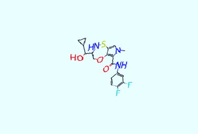 Cn1cc2c(c1C(=O)Nc1ccc(F)c(F)c1)OCC(C(O)C1CC1)NS2